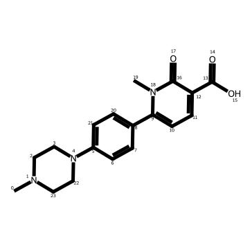 CN1CCN(c2ccc(-c3ccc(C(=O)O)c(=O)n3C)cc2)CC1